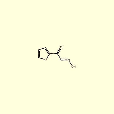 O=C(/C=N/O)c1ccco1